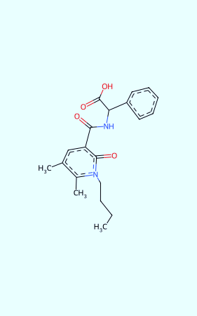 CCCCn1c(C)c(C)cc(C(=O)NC(C(=O)O)c2ccccc2)c1=O